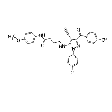 COc1ccc(NC(=O)CCCNc2c(C#N)c(C(=O)c3ccc(C)cc3)nn2-c2ccc(Cl)cc2)cc1